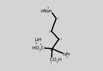 CCCCCCCCCCCCC(CCC)(C(=O)O)C(=O)O.[LiH]